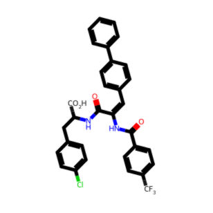 O=C(NC(Cc1ccc(Cl)cc1)C(=O)O)/C(=C\c1ccc(-c2ccccc2)cc1)NC(=O)c1ccc(C(F)(F)F)cc1